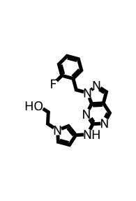 OCCn1ccc(Nc2ncc3cnn(Cc4ccccc4F)c3n2)c1